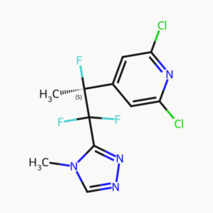 Cn1cnnc1C(F)(F)[C@@](C)(F)c1cc(Cl)nc(Cl)c1